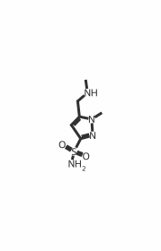 CNCc1cc(S(N)(=O)=O)nn1C